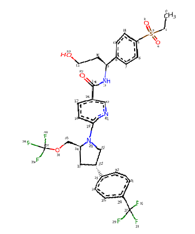 CCS(=O)(=O)c1ccc([C@H](CCO)NC(=O)c2ccc(N3C[C@H](c4ccc(C(F)(F)F)cc4)C[C@H]3COC(F)(F)F)nc2)cc1